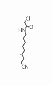 N#CCC[CH]CCCCCNC(=O)CCl